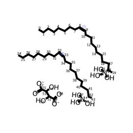 CCCCCCCC/C=C\CCCCCCCCC(C)[N+](O)(O)O.CCCCCCCC/C=C\CCCCCCCCC(C)[N+](O)(O)O.O=C([O-])C(O)C(O)C(=O)[O-]